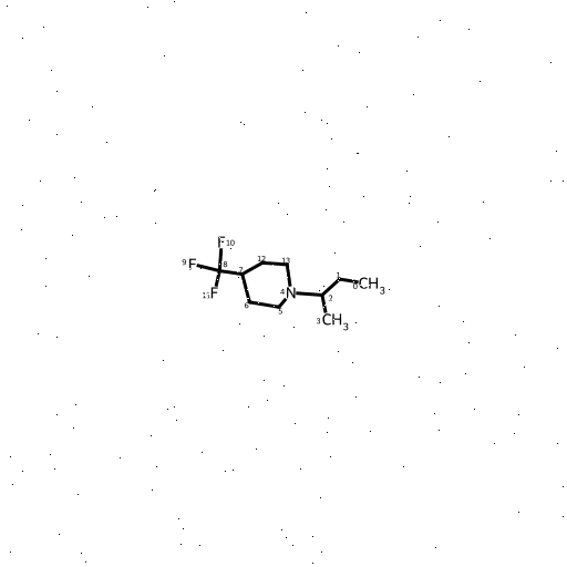 CCC(C)N1CCC(C(F)(F)F)CC1